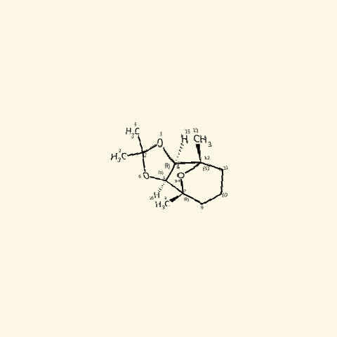 CC1(C)O[C@@H]2[C@H](O1)[C@@]1(C)CCC[C@]2(C)O1